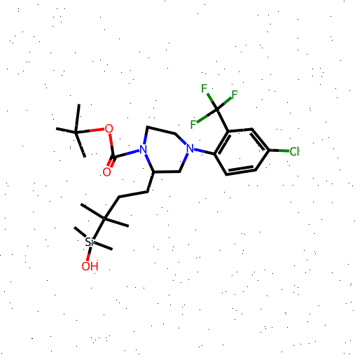 CC(C)(C)OC(=O)N1CCN(c2ccc(Cl)cc2C(F)(F)F)CC1CCC(C)(C)[Si](C)(C)O